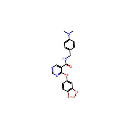 CN(C)c1ccc(CNC(=O)c2cncnc2Oc2ccc3c(c2)OCO3)cc1